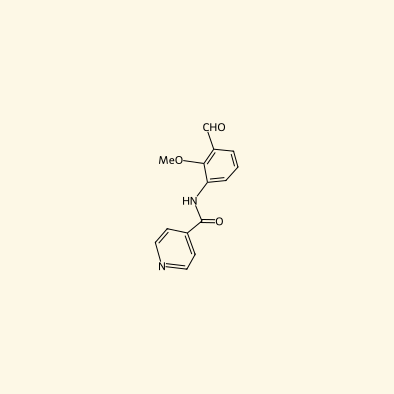 COc1c(C=O)cccc1NC(=O)c1ccncc1